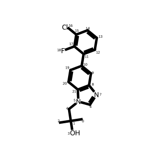 CC(C)(O)Cn1cnc2cc(-c3cccc(Cl)c3F)ccc21